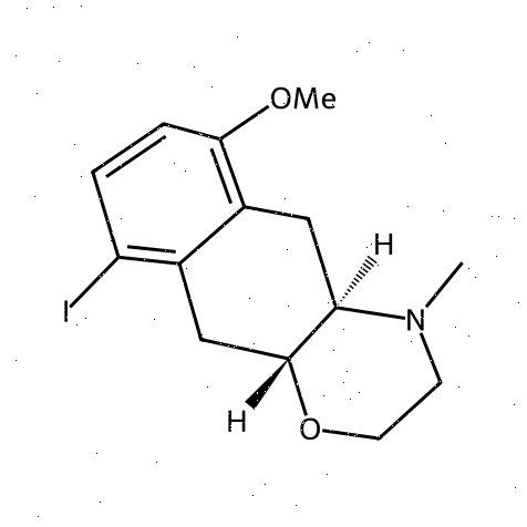 COc1ccc(I)c2c1C[C@@H]1[C@@H](C2)OCCN1C